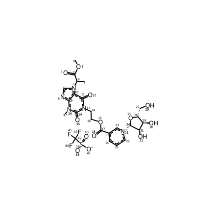 COC(=O)C(C)n1cnc2c1c(=O)n(CCOC(=O)c1ccc[n+]([C@@H]3O[C@H](CO)[C@@H](O)[C@H]3O)c1)c(=O)n2C.O=S(=O)([O-])C(F)(F)F